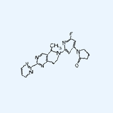 CC1c2cnc(-c3ncccn3)nc2CCN1c1cc(N2CCCC2=O)cc(F)n1